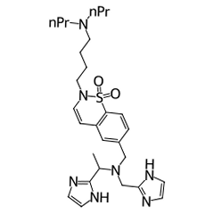 CCCN(CCC)CCCCN1C=Cc2cc(CN(Cc3ncc[nH]3)C(C)c3ncc[nH]3)ccc2S1(=O)=O